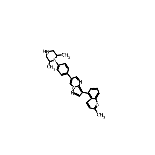 Cc1ccc2c(-c3cnn4cc(-c5ccc(N6C(C)CNCC6C)cc5)cnc34)cccc2n1